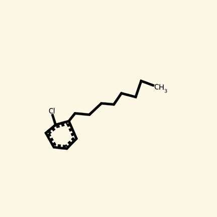 CCCCCCCCc1ccccc1Cl